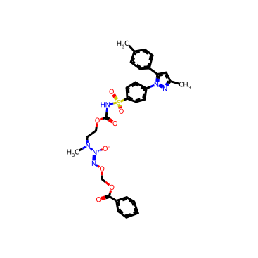 Cc1ccc(-c2cc(C)nn2-c2ccc(S(=O)(=O)NC(=O)OCCN(C)/[N+]([O-])=N/OCOC(=O)c3ccccc3)cc2)cc1